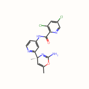 CC1=C[C@@](C)(c2cc(NC(=O)c3ncc(Cl)cc3Cl)ccn2)N=C(N)O1